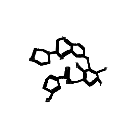 O=C(Nc1cc(F)c(F)c(Oc2ccc3ncc(N4CCOCC4)nc3c2)c1F)c1cccc(Cl)c1